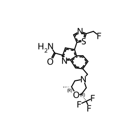 C[C@@H]1CN(Cc2ccc3c(-c4cnc(CF)s4)cc(C(N)=O)nc3c2)C[C@H](C(F)(F)F)O1